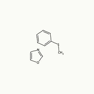 CSc1ccccc1.c1cocn1